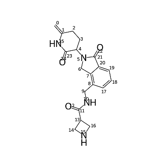 C=C1CCC(N2Cc3c(CNC(=O)C4CNC4)cccc3C2=O)C(=O)N1